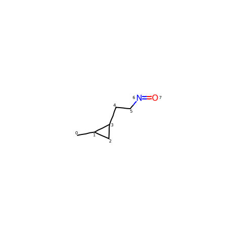 CC1CC1CCN=O